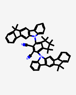 CC1(C)c2ccccc2-c2cc3c(cc21)c1ccccc1n3-c1c(C#N)c(C#N)c(-n2c3ccccc3c3cc4c(cc32)-c2ccccc2C4(C)C)c2c1C(C)(C)C(C)(C)C2(C)C